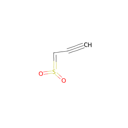 C#CC=S(=O)=O